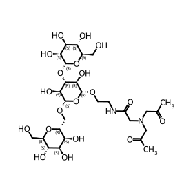 CC(=O)CN(CC(C)=O)CC(=O)NCCO[C@@H]1O[C@H](OC[C@H]2O[C@H](CO)[C@@H](O)[C@H](O)[C@@H]2O)[C@@H](O)[C@H](O[C@H]2O[C@H](CO)[C@@H](O)[C@H](O)[C@@H]2O)[C@H]1O